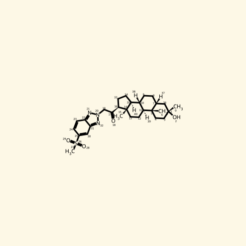 C[C@@]1(O)CC[C@@]2(C)[C@H](CC[C@@H]3[C@@H]2CC[C@]2(C)[C@@H](C(=O)Cn4nc5ccc(S(C)(=O)=O)cc5n4)CC[C@@H]32)C1